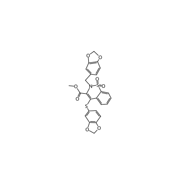 COC(=O)C1=C(Sc2ccc3c(c2)OCO3)c2ccccc2S(=O)(=O)N1Cc1ccc2c(c1)OCO2